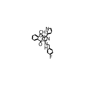 COc1ccccc1C(=O)n1nc(-c2cccnc2)nc1NCc1ccc(F)cc1